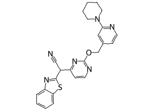 N#CC(c1ccnc(OCc2ccnc(N3CCCCC3)c2)n1)c1nc2ccccc2s1